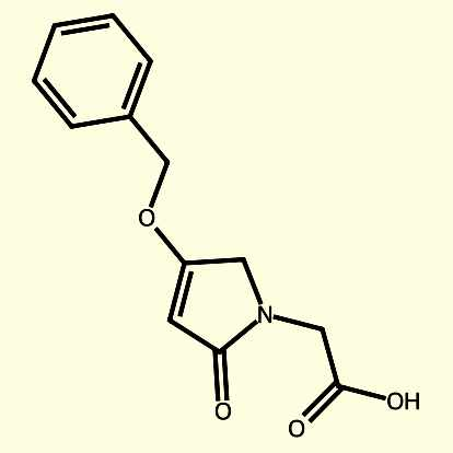 O=C(O)CN1CC(OCc2ccccc2)=CC1=O